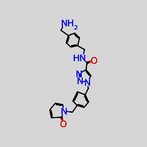 NCc1ccc(CNC(=O)c2cn(Cc3ccc(Cn4ccccc4=O)cc3)nn2)cc1